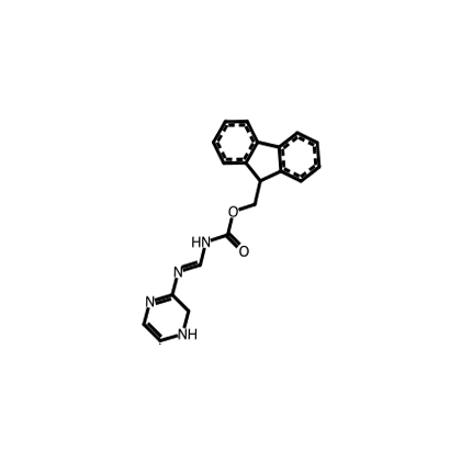 O=C(N/C=N/C1=NC=[C]NC1)OCC1c2ccccc2-c2ccccc21